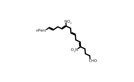 CCCCC/C=C/C/C=C(/C/C=C/C/C=C(/CCC[C]=O)[N+](=O)[O-])[N+](=O)[O-]